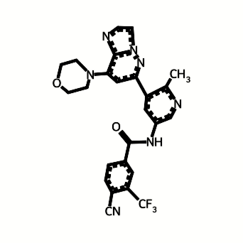 Cc1ncc(NC(=O)c2ccc(C#N)c(C(F)(F)F)c2)cc1-c1cc(N2CCOCC2)c2nccn2n1